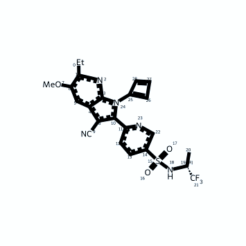 CCc1nc2c(cc1OC)c(C#N)c(-c1ccc(S(=O)(=O)N[C@H](C)C(F)(F)F)cn1)n2C1=CC=C1